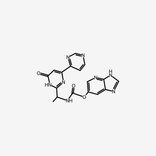 CC(NC(=O)Oc1cnc2[nH]cnc2c1)c1nc(-c2ccncn2)cc(=O)[nH]1